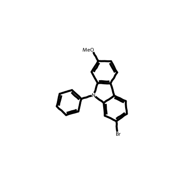 COc1ccc2c3ccc(Br)cc3n(-c3ccccc3)c2c1